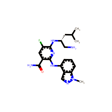 CC(C)C[C@H](CN)Nc1nc(Nc2cccc3c2cnn3C)c(C(N)=O)cc1F